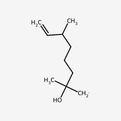 [CH2]C(C)(O)CCCC(C)C=C